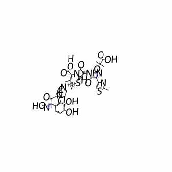 Cc1nc(/C(=N/OC(C)(C)C(=O)O)C(=O)N[C@@H]2C(=O)N3C(C(=O)O)=C(C[N+]45CCC(CC4)N(C(=O)/C(=N\O)c4ccc(O)c(O)c4Cl)CC5)[C@H](C)S[C@H]23)cs1